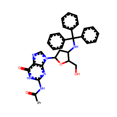 CC(C)C(=O)Nc1nc2c(ncn2C2CC(NC(c3ccccc3)(c3ccccc3)c3ccccc3)C(CO)O2)c(=O)[nH]1